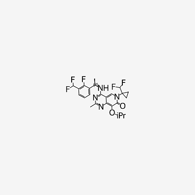 Cc1nc(N[C@H](C)c2cccc(C(F)F)c2F)c2cn(C3(C(F)F)CC3)c(=O)c(OC(C)C)c2n1